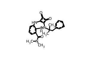 CN(C)C(=O)c1cccc(Nc2c(NC(C)(C)Cc3ccccc3)c(=O)c2=O)c1O